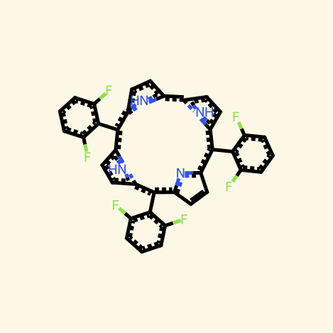 Fc1cccc(F)c1-c1c2nc(c(-c3c(F)cccc3F)c3ccc([nH]3)c3ccc([nH]3)c(-c3c(F)cccc3F)c3ccc1[nH]3)C=C2